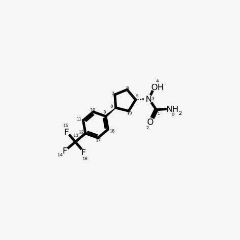 NC(=O)N(O)[C@H]1CC[C@H](c2ccc(C(F)(F)F)cc2)C1